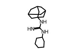 N=C(NC1CCCCC1)NC12CC3CC(CC(C3)C1)C2